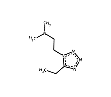 CCc1nnnn1CCN(C)C